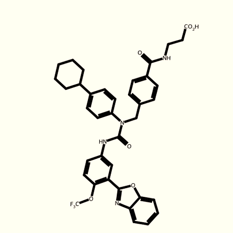 O=C(O)CCNC(=O)c1ccc(CN(C(=O)Nc2ccc(OC(F)(F)F)c(-c3nc4ccccc4o3)c2)c2ccc(C3CCCCC3)cc2)cc1